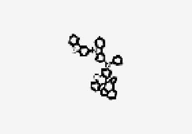 c1ccc(N(c2ccc3c(c2)Oc2ccccc2C32c3ccccc3-c3cccc4cccc2c34)c2ccc3c(c2)c2ccccc2n3-c2ccc3sc4ccccc4c3c2)cc1